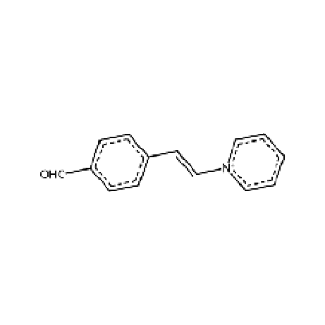 O=Cc1ccc(C=C[n+]2ccccc2)cc1